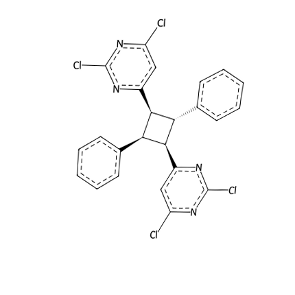 Clc1cc([C@H]2[C@H](c3ccccc3)[C@@H](c3cc(Cl)nc(Cl)n3)[C@H]2c2ccccc2)nc(Cl)n1